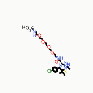 Cc1sc2c(c1C)C(c1ccc(Cl)cc1)=N[C@@H](CC(=O)NCCOCCOCCOCCOCCNC(=O)O)c1nnc(C)n1-2